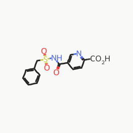 O=C(NS(=O)(=O)Cc1ccccc1)c1ccc(C(=O)O)nc1